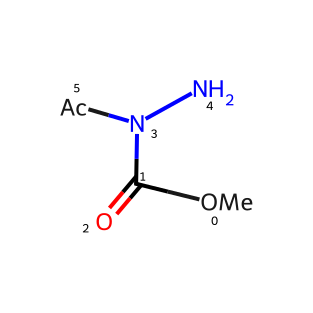 COC(=O)N(N)C(C)=O